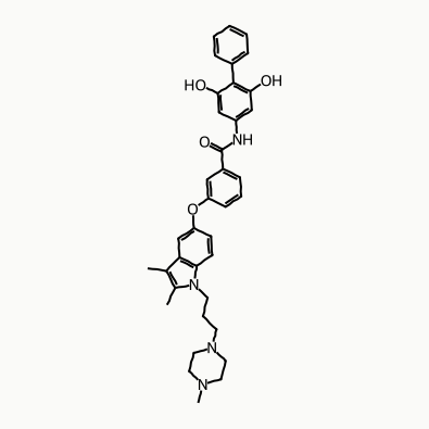 Cc1c(C)n(CCCN2CCN(C)CC2)c2ccc(Oc3cccc(C(=O)Nc4cc(O)c(-c5ccccc5)c(O)c4)c3)cc12